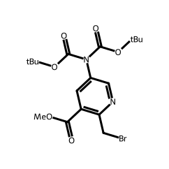 COC(=O)c1cc(N(C(=O)OC(C)(C)C)C(=O)OC(C)(C)C)cnc1CBr